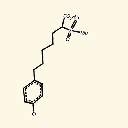 CC(C)(C)S(=O)(=O)C(CCCCCc1ccc(Cl)cc1)C(=O)O